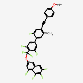 CCCOc1ccc(C#Cc2cc(F)c(-c3cc(F)c(C(F)(F)Oc4cc(F)c5c(F)c(F)c(F)cc5c4)c(F)c3)cc2C)cc1